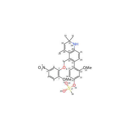 COc1ccc([N+](=O)[O-])cc1OCc1c(-c2ccc(OS(C)(=O)=O)cc2OC)ccc2c1C(C)=CC(C)(C)N2